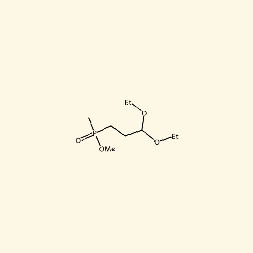 CCOC(CCP(C)(=O)OC)OCC